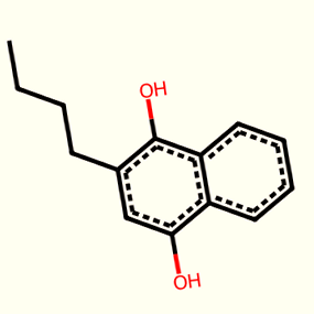 CCCCc1cc(O)c2ccccc2c1O